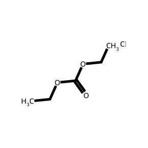 CCOC(=O)OCC.[C]